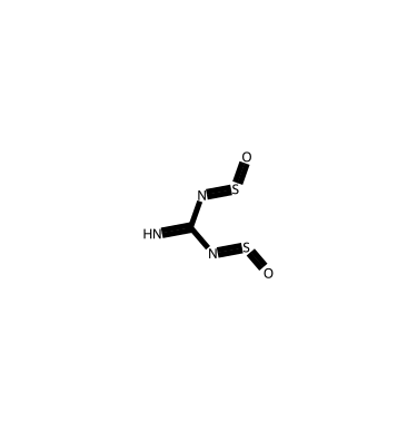 N=C(N=S=O)N=S=O